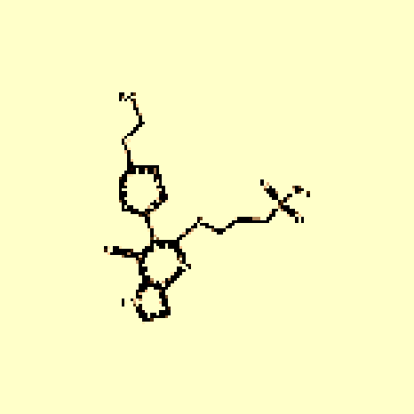 NS(=O)(=O)CCCSc1nc2cc[nH]c2c(=O)n1-c1ccc(OCC(F)(F)F)cc1